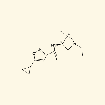 CCN1C[C@@H](C)[C@H](NC(=O)c2cc(C3CC3)on2)C1